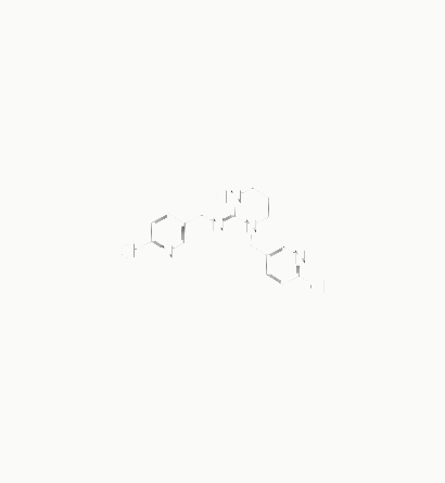 Clc1ccc(C/N=C2\NCCCN2Cc2ccc(Cl)nc2)cn1